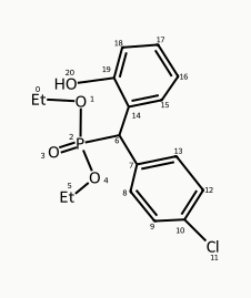 CCOP(=O)(OCC)C(c1ccc(Cl)cc1)c1ccccc1O